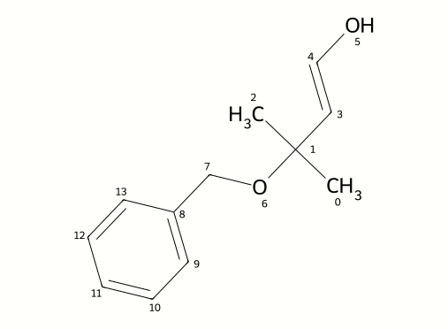 CC(C)(C=CO)OCc1ccccc1